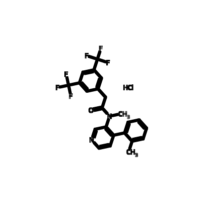 Cc1ccccc1-c1ccncc1N(C)C(=O)Cc1cc(C(F)(F)F)cc(C(F)(F)F)c1.Cl